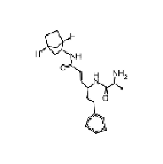 C[C@H](N)C(=O)N[C@H](C=CC(=O)NC1C[C@@H]2CC[C@H]1C2)CCc1ccccc1